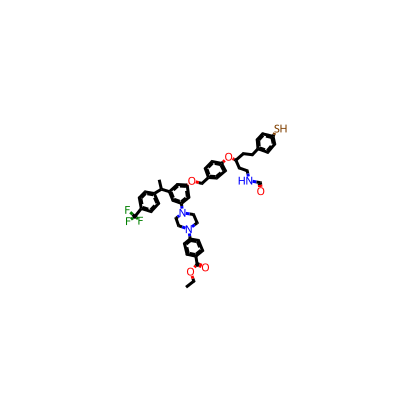 CCOC(=O)c1ccc(N2CCN(c3cc(OCc4ccc(OC(CCNC=O)CCc5ccc(S)cc5)cc4)cc(C(C)c4ccc(C(F)(F)F)cc4)c3)CC2)cc1